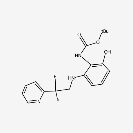 CC(C)(C)OC(=O)Nc1c(O)cccc1NCC(F)(F)c1ccccn1